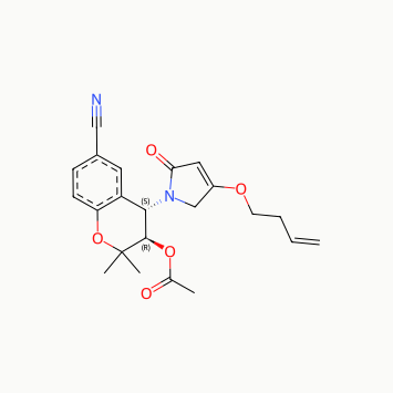 C=CCCOC1=CC(=O)N([C@H]2c3cc(C#N)ccc3OC(C)(C)[C@@H]2OC(C)=O)C1